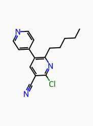 CCCCCc1nc(Cl)c(C#N)cc1-c1ccncc1